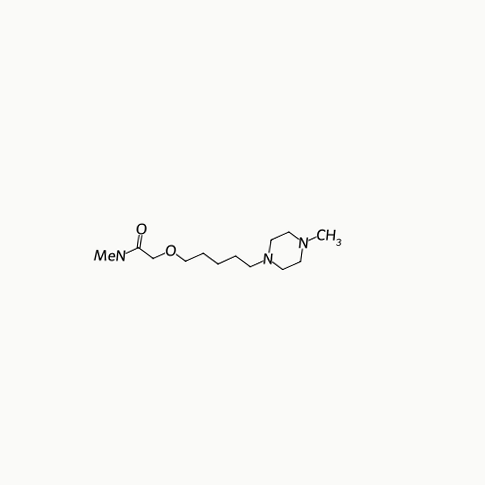 CNC(=O)COCCCCCN1CCN(C)CC1